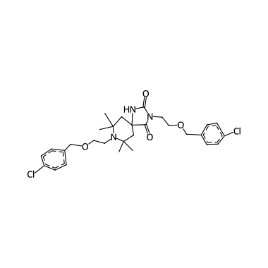 CC1(C)CC2(CC(C)(C)N1CCOCc1ccc(Cl)cc1)NC(=O)N(CCOCc1ccc(Cl)cc1)C2=O